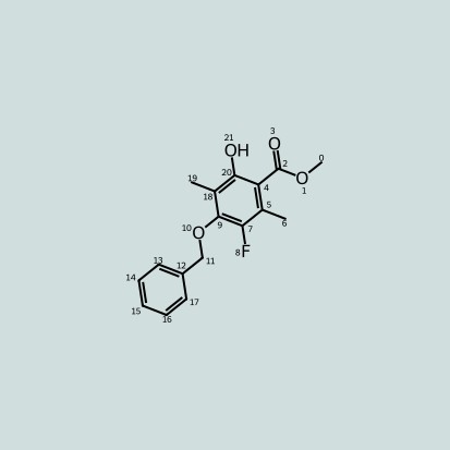 COC(=O)c1c(C)c(F)c(OCc2ccccc2)c(C)c1O